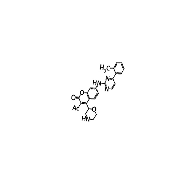 CC(=O)c1c(C2CNCCO2)c2ccc(Nc3nccc(-c4ccccc4C)n3)cc2oc1=O